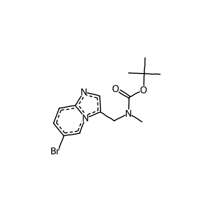 CN(Cc1cnc2ccc(Br)cn12)C(=O)OC(C)(C)C